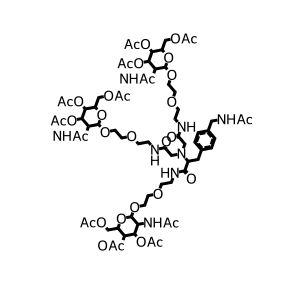 CC(=O)NCc1ccc(CC(C(=O)NCCOCCOC2OC(COC(C)=O)C(OC(C)=O)C(OC(C)=O)C2NC(C)=O)N(CC(=O)NCCOCCOC2OC(COC(C)=O)C(OC(C)=O)C(OC(C)=O)C2NC(C)=O)CC(=O)NCCOCCOC2OC(COC(C)=O)C(OC(C)=O)C(OC(C)=O)C2NC(C)=O)cc1